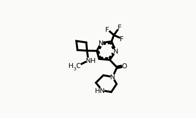 CNC1(c2cc(C(=O)N3CCNCC3)nc(C(F)(F)F)n2)CCC1